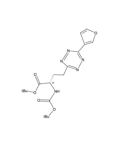 CC(C)(C)OC(=O)N[C@@H](CCc1nnc(-c2ccoc2)nn1)C(=O)OC(C)(C)C